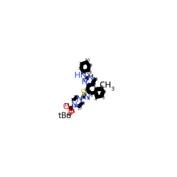 Cc1cccc(-c2nc(N3CCN(C(=O)OC(C)(C)C)CC3)sc2-c2ccnc(NC3CCCCC3)n2)c1